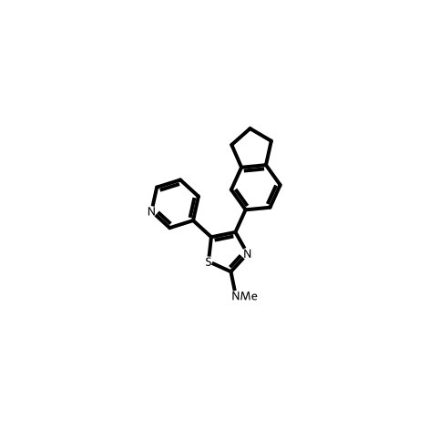 CNc1nc(-c2ccc3c(c2)CCC3)c(-c2cccnc2)s1